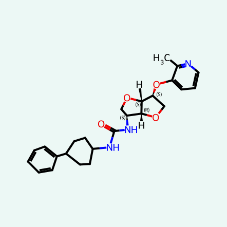 Cc1ncccc1O[C@H]1CO[C@H]2[C@@H]1OC[C@@H]2NC(=O)NC1CCC(c2ccccc2)CC1